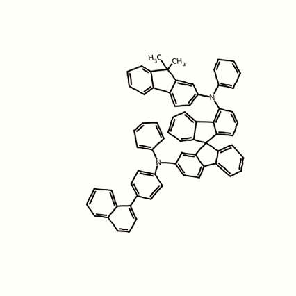 CC1(C)c2ccccc2-c2ccc(N(c3ccccc3)c3cccc4c3-c3ccccc3C43c4ccccc4-c4ccc(N(c5ccccc5)c5ccc(-c6cccc7ccccc67)cc5)cc43)cc21